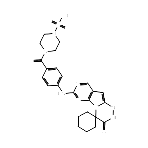 CS(=O)(=O)N1CCN(C(=O)c2ccc(Nc3ncc4cc5n(c4n3)C3(CCCCC3)C(=O)NN5)cc2)CC1